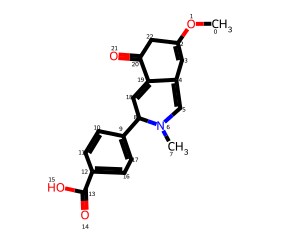 COC1=CC2=CN(C)C(c3ccc(C(=O)O)cc3)C=C2C(=O)C1